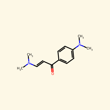 CN(C)/C=C/C(=O)c1ccc(N(C)C)cc1